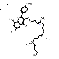 COc1ccc(-c2oc3c(O)cc(O)cc3c(=O)c2CSC/C=C(\C)CCC[C@H](C)CCC[C@H](C)CCCC(C)C)cc1